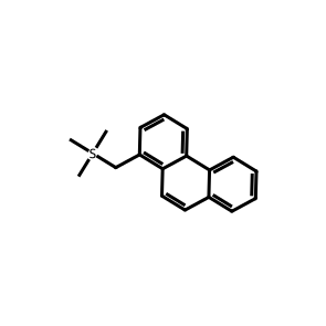 CS(C)(C)Cc1cccc2c1ccc1ccccc12